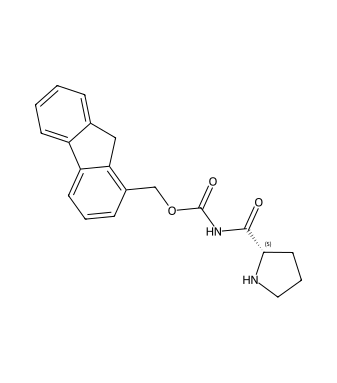 O=C(NC(=O)[C@@H]1CCCN1)OCc1cccc2c1Cc1ccccc1-2